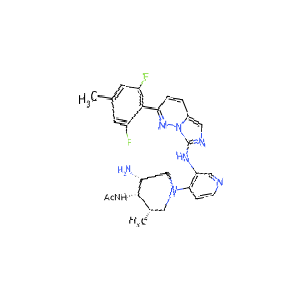 CC(=O)N[C@@H]1[C@H](N)CN(c2ccncc2Nc2ncc3ccc(-c4c(F)cc(C)cc4F)nn23)C[C@@H]1C